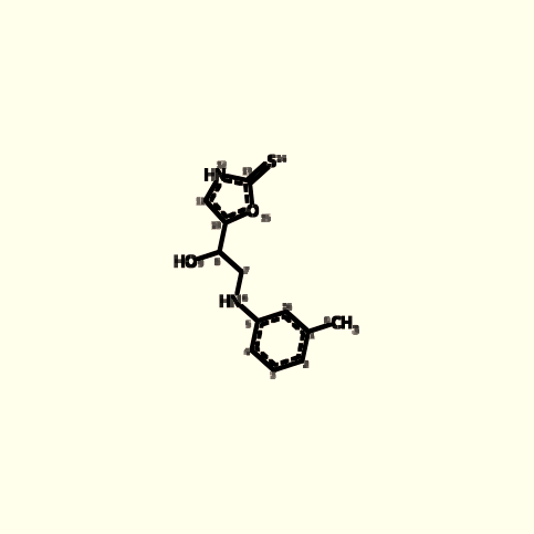 Cc1cccc(NCC(O)c2c[nH]c(=S)o2)c1